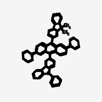 CC1(C)c2ccccc2-c2ccc(-c3c4ccc(N5CCCCC5)cc4c(-c4ccc5c(c4)c4ccccc4n5-c4ccccc4)c4ccc(N5CCCCC5)cc34)cc21